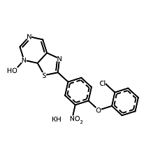 O=[N+]([O-])c1cc(C2=NC3=CN=CN(O)C3S2)ccc1Oc1ccccc1Cl.[KH]